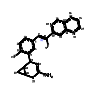 NC1=NC(c2cc(/C=C(\F)c3cc4nccnc4cn3)ccc2F)C2CC2S1